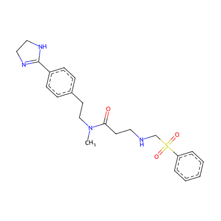 CN(CCc1ccc(C2=NCCN2)cc1)C(=O)CCNCS(=O)(=O)c1ccccc1